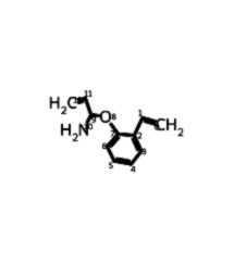 C=Cc1ccccc1OC(N)C=C